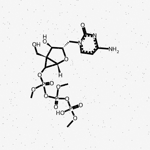 COP(=O)(O)OP(=O)(OC)OP(=O)(OC)OC1[C@H]2O[C@@H](Cn3ccc(N)nc3=O)[C@H](O)[C@@]12CO